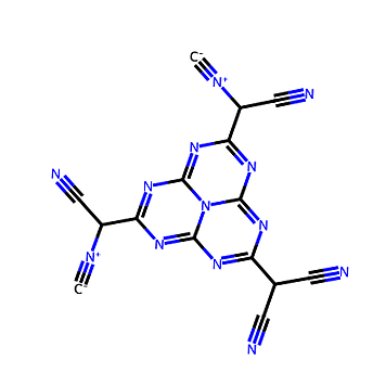 [C-]#[N+]C(C#N)C1=NC2=NC(C(C#N)C#N)=NC3=NC(C(C#N)[N+]#[C-])=NC(=N1)N23